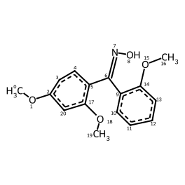 COc1ccc(C(=NO)c2ccccc2OC)c(OC)c1